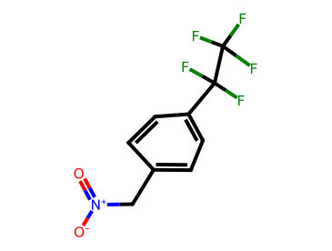 O=[N+]([O-])Cc1ccc(C(F)(F)C(F)(F)F)cc1